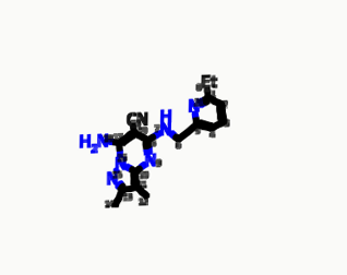 CCc1cccc(CNc2nc3c(C)c(C)nn3c(N)c2C#N)n1